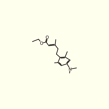 CCOC(=O)C=C(C)CCc1c(C)cc(N(C)C)cc1C